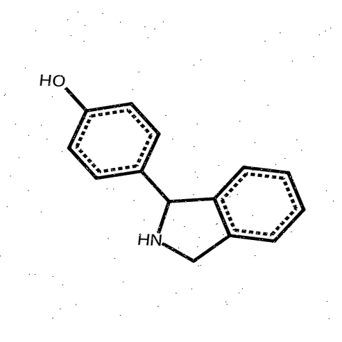 Oc1ccc(C2NCc3ccccc32)cc1